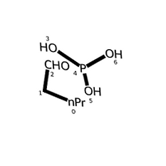 CCCCC=O.OP(O)O